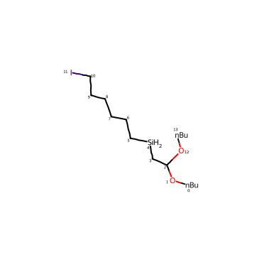 CCCCOC(C[SiH2]CCCCCCI)OCCCC